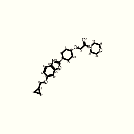 O=C(CO[C@H]1CC[C@H](c2nc3ccc(OCC4CC4)cc3o2)CC1)N1CCOCC1